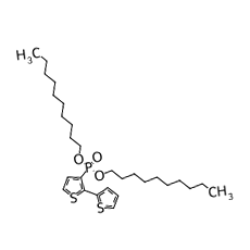 CCCCCCCCCCOP(=O)(OCCCCCCCCCC)c1ccsc1-c1cccs1